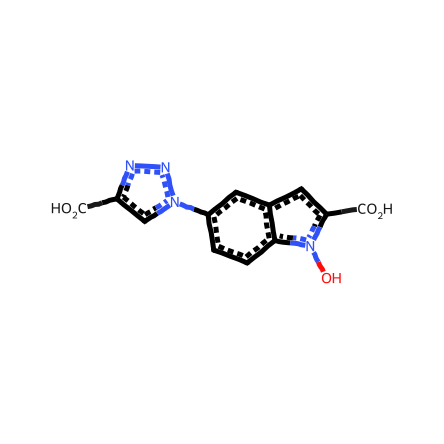 O=C(O)c1cn(-c2ccc3c(c2)cc(C(=O)O)n3O)nn1